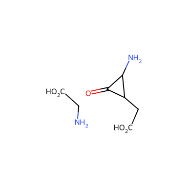 NC1C(=O)C1CC(=O)O.NCC(=O)O